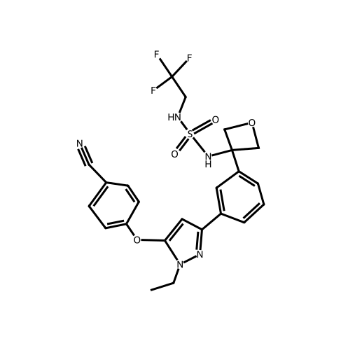 CCn1nc(-c2cccc(C3(NS(=O)(=O)NCC(F)(F)F)COC3)c2)cc1Oc1ccc(C#N)cc1